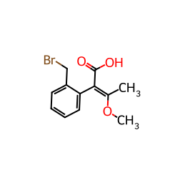 COC(C)=C(C(=O)O)c1ccccc1CBr